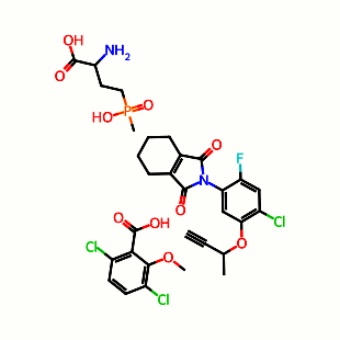 C#CC(C)Oc1cc(N2C(=O)C3=C(CCCC3)C2=O)c(F)cc1Cl.COc1c(Cl)ccc(Cl)c1C(=O)O.CP(=O)(O)CCC(N)C(=O)O